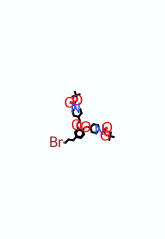 CC(C)(C)OC(=O)N1CCC(COc2cc(CCCBr)ccc2OC2CCN(C(=O)OC(C)(C)C)CC2)CC1